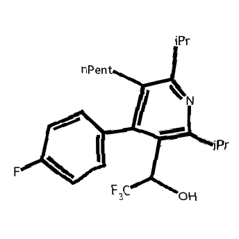 CCCCCc1c(C(C)C)nc(C(C)C)c(C(O)C(F)(F)F)c1-c1ccc(F)cc1